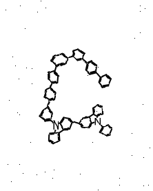 c1ccc(-c2ccc(-c3cccc(-c4cccc(-c5ccc(-c6ccc(-c7cccc(-n8c9ccccc9c9cc(-c%10ccc%11c(c%10)c%10ccccc%10n%11-c%10ccccc%10)ccc98)c7)cc6)cc5)c4)c3)cc2)cc1